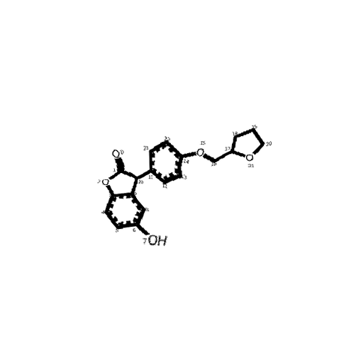 O=C1Oc2ccc(O)cc2C1c1ccc(OCC2CCCO2)cc1